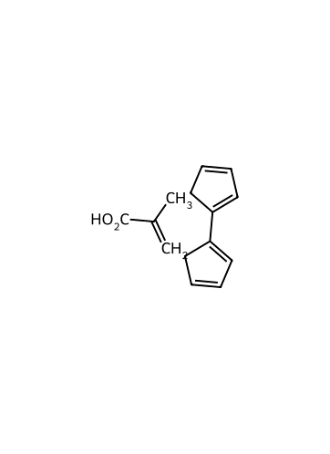 C1=CCC(C2=CC=CC2)=C1.C=C(C)C(=O)O